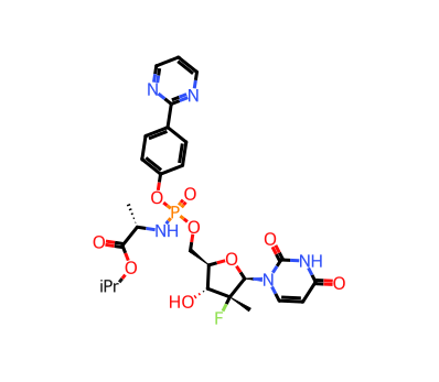 CC(C)OC(=O)[C@H](C)NP(=O)(OC[C@H]1O[C@@H](n2ccc(=O)[nH]c2=O)[C@](C)(F)[C@@H]1O)Oc1ccc(-c2ncccn2)cc1